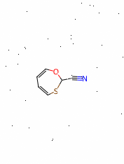 N#CC1OC=CC=CS1